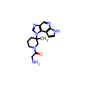 CC1(n2cnc3cnc4[nH]ccc4c32)CCCN(C(=O)CN)C1